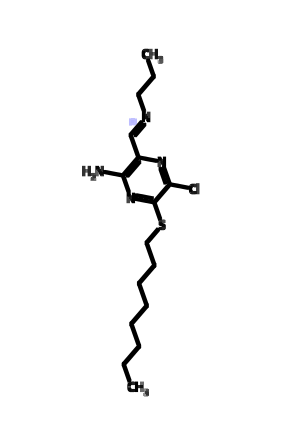 CCCCCCCCSc1nc(N)c(/C=N/CCC)nc1Cl